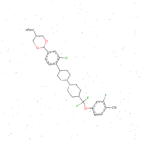 CCCCCC1COC(c2ccc(C3CCC(C4CCC(C(F)(F)Oc5ccc(C#N)c(F)c5)CC4)CC3)c(F)c2)OC1